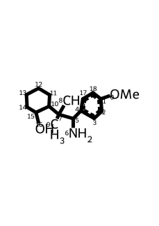 COc1ccc(C(N)C(C)(C)C2CCCCC2O)cc1